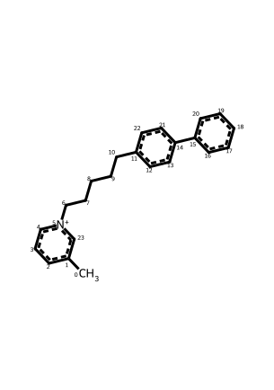 Cc1ccc[n+](CCCCCc2ccc(-c3ccccc3)cc2)c1